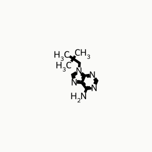 CC(C)(C)Cn1cnc2c(N)ncnc21